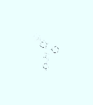 CC(C)(C(=O)Nc1nncs1)[C@@H]1c2ccccc2Oc2nc(N3CCCC3)ccc21